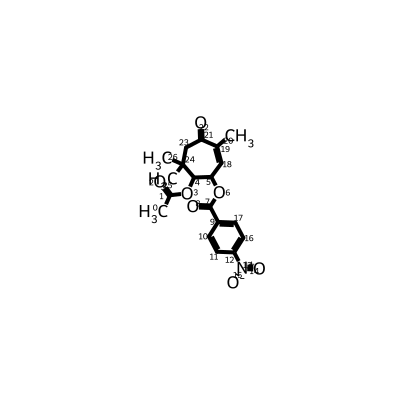 CC(=O)OC1C(OC(=O)c2ccc([N+](=O)[O-])cc2)C=C(C)C(=O)CC1(C)C